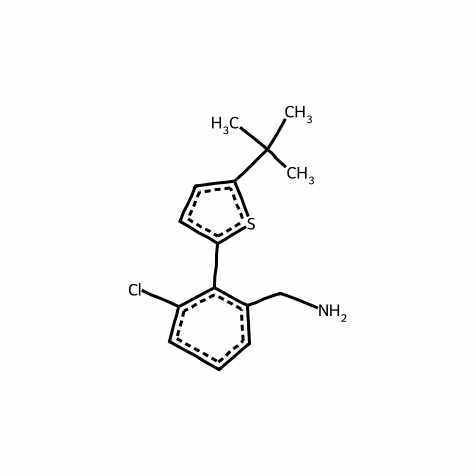 CC(C)(C)c1ccc(-c2c(Cl)cccc2CN)s1